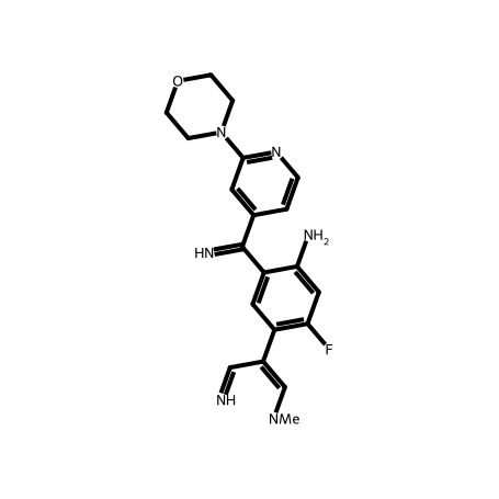 CN/C=C(\C=N)c1cc(C(=N)c2ccnc(N3CCOCC3)c2)c(N)cc1F